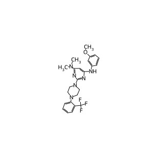 COc1cccc(Nc2cc(N(C)C)nc(N3CCN(c4ccccc4C(F)(F)F)CC3)n2)c1